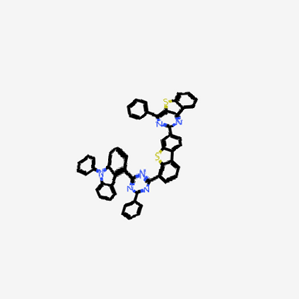 c1ccc(-c2nc(-c3cccc4c3sc3cc(-c5nc(-c6ccccc6)c6sc7ccccc7c6n5)ccc34)nc(-c3cccc4c3c3ccccc3n4-c3ccccc3)n2)cc1